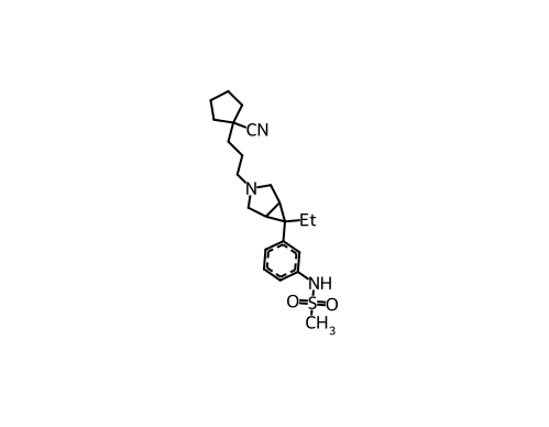 CCC1(c2cccc(NS(C)(=O)=O)c2)C2CN(CCCC3(C#N)CCCC3)CC21